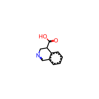 O=C(O)C1CN=Cc2ccccc21